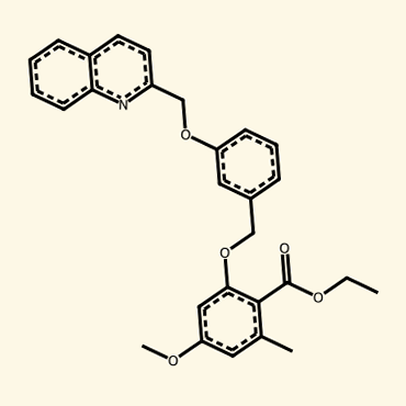 CCOC(=O)c1c(C)cc(OC)cc1OCc1cccc(OCc2ccc3ccccc3n2)c1